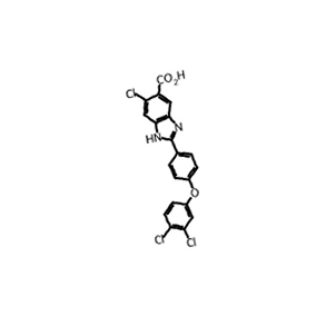 O=C(O)c1cc2nc(-c3ccc(Oc4ccc(Cl)c(Cl)c4)cc3)[nH]c2cc1Cl